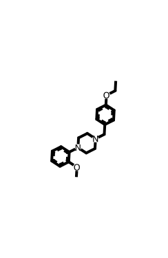 CCOc1ccc(CN2CCN(c3ccccc3OC)CC2)cc1